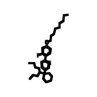 CCCCCCCCCOc1ccc(-c2ccc(C3(C(CCC)CCCC)CCCCC3)cn2)c(F)c1